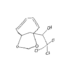 OC(C(Cl)(Cl)Cl)C12C=CC=CC1OCO2